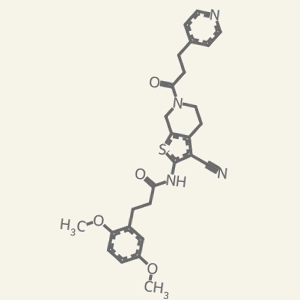 COc1ccc(OC)c(CCC(=O)Nc2sc3c(c2C#N)CCN(C(=O)CCc2ccncc2)C3)c1